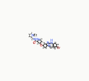 CCN1CCCC1CNC(=O)c1cc(Oc2ccc3c(c2)nc(Nc2ccc(Br)cc2)n3C)ccn1